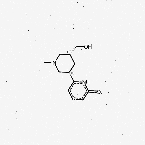 CN1C[C@H](CO)C[C@H](c2cccc(=O)[nH]2)C1